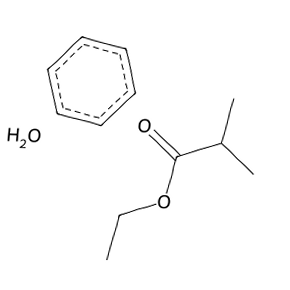 CCOC(=O)C(C)C.O.c1ccccc1